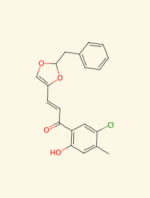 Cc1cc(O)c(C(=O)C=CC2=COC(Cc3ccccc3)O2)cc1Cl